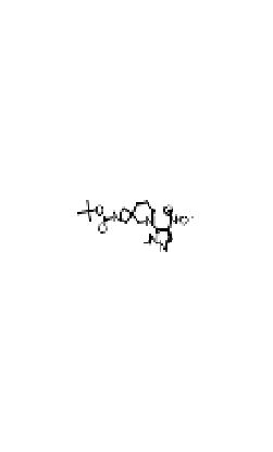 Cn1ncc([N+](=O)[O-])c1N1CCCC2(CN(C(=O)OC(C)(C)C)C2)C1